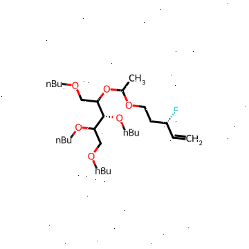 C=C[C@@H](F)CCOC(C)OC(COCCCC)[C@H](OCCCC)C(COCCCC)OCCCC